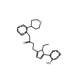 CCC1C(CCC(=O)Cc2ccccc2C2CCOCC2)=CC=C1c1ccccc1O